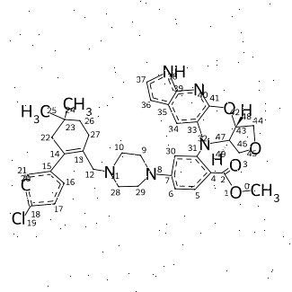 COC(=O)c1ccc(N2CCN(CC3=C(c4ccc(Cl)cc4)CC(C)(C)CC3)CC2)cc1N1c2cc3cc[nH]c3nc2O[C@@H]2COC[C@H]21